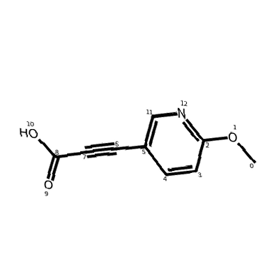 COc1ccc(C#CC(=O)O)cn1